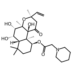 C=C[C@@]1(C)CC(=O)[C@]2(O)[C@@]3(C)[C@@H](OC(=O)CN4CCCCC4)CCC(C)(C)[C@@H]3[C@H](O)[C@H](O)[C@@]2(C)O1